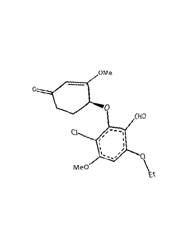 CCOc1cc(OC)c(Cl)c(O[C@H]2CCC(=O)C=C2OC)c1C=O